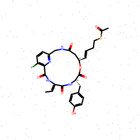 C/C=C1\NC(=O)c2nc(ccc2F)CNC(=O)C[C@@H](/C=C/CCSC(C)=O)OC(=O)[C@H](Cc2ccc(O)cc2)NC1=O